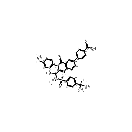 COc1ccc(-n2c(C(C)N(C)S(=O)(=O)c3ccc(C(C)(C)C)cc3)nc3ccc(-c4ccc(C(=O)O)cc4)cc3c2=O)cc1